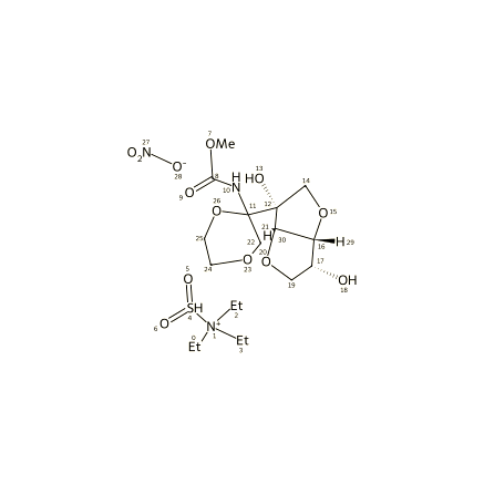 CC[N+](CC)(CC)[SH](=O)=O.COC(=O)NC1([C@@]2(O)CO[C@@H]3[C@H](O)CO[C@@H]32)COCCO1.O=[N+]([O-])[O-]